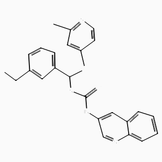 CCc1cccc(C(NC(=O)Nc2cnc3ccccc3c2)Oc2ccnc(C)c2)c1